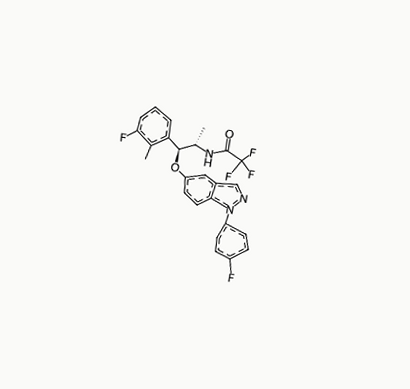 Cc1c(F)cccc1[C@H](Oc1ccc2c(cnn2-c2ccc(F)cc2)c1)[C@H](C)NC(=O)C(F)(F)F